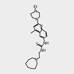 CCN1CCN(c2cc(C)c3cc(NC(=S)NCCN4CCCCCCC4)ccc3n2)CC1